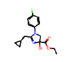 CCOC(=O)C1(O)CN(c2ccc(Cl)cc2)C(CC2CC2)=N1